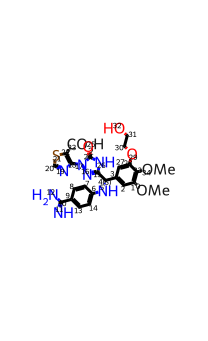 COc1cc([C@H](Nc2ccc(C(=N)N)cc2)c2nn(-c3ncsc3C(=O)O)c(=O)[nH]2)cc(OCCO)c1OC